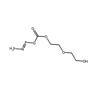 O=C(OCCOCCO)OP=NP